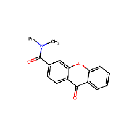 CC(C)N(C)C(=O)c1ccc2c(=O)c3ccccc3oc2c1